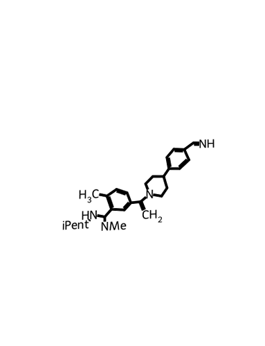 C=C(c1ccc(C)c(C(NC)NC(C)CCC)c1)N1CCC(c2ccc(C=N)cc2)CC1